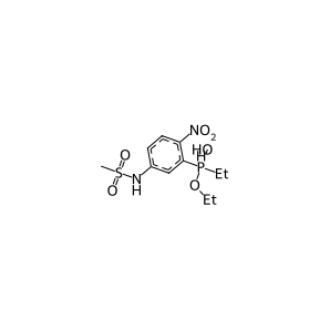 CCO[PH](O)(CC)c1cc(NS(C)(=O)=O)ccc1[N+](=O)[O-]